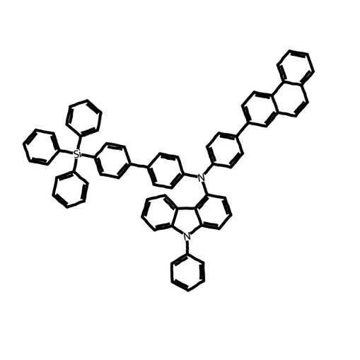 c1ccc(-n2c3ccccc3c3c(N(c4ccc(-c5ccc([Si](c6ccccc6)(c6ccccc6)c6ccccc6)cc5)cc4)c4ccc(-c5ccc6c(ccc7ccccc76)c5)cc4)cccc32)cc1